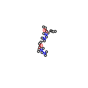 c1cc(N(c2ccccc2-c2cccc3c2oc2c4cc(-c5cccc6c5c5ccccc5n6-c5cccc(N(c6ccc(-c7ccc8cc7c7cc9ccccc9c8c7)cc6)c6ccccc6-c6cccc7c6oc6c8ccccc8ccc76)c5)ccc4ccc32)c2cccc3ccccc23)cc(-n2c3ccccc3c3ccccc32)c1